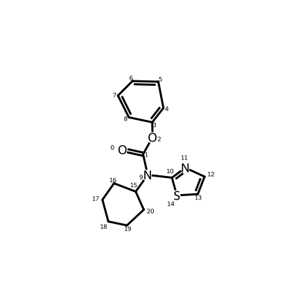 O=C(Oc1ccccc1)N(c1nccs1)C1CCCCC1